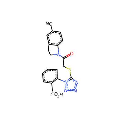 N#Cc1ccc2c(c1)CCN2C(=O)CSc1nnnn1-c1ccccc1C(=O)O